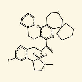 CN1CCN(c2cc(F)ccc2CNC(=O)c2nc3n(c(=O)c2OCc2ccccc2)CCOCC32CCOCC2)S1(=O)=O